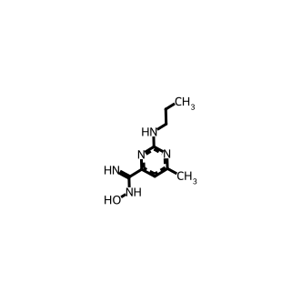 CCCNc1nc(C)cc(C(=N)NO)n1